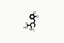 CCC(Cc1cccc(Cl)c1Cl)CC(CN)C(=O)O